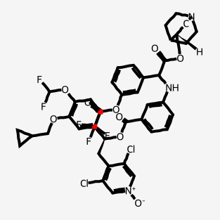 O=C(O[C@@H](Cc1c(Cl)c[n+]([O-])cc1Cl)c1ccc(OC(F)F)c(OCC2CC2)c1)c1cccc(NC(C(=O)O[C@H]2CN3CCC2CC3)c2cccc(OC(=O)C(F)(F)F)c2)c1